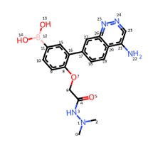 CN(C)NC(=O)COc1ccc(B(O)O)cc1-c1ccc2c(N)cnnc2c1